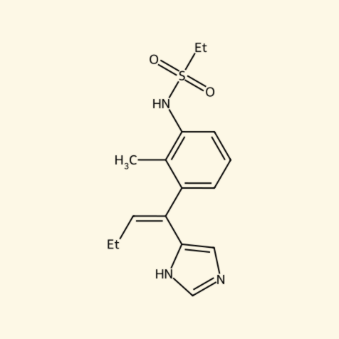 CCC=C(c1cnc[nH]1)c1cccc(NS(=O)(=O)CC)c1C